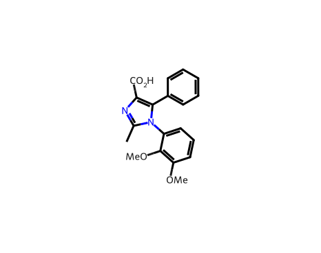 COc1cccc(-n2c(C)nc(C(=O)O)c2-c2ccccc2)c1OC